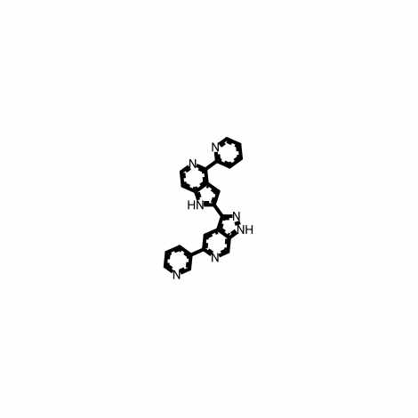 c1ccc(-c2nccc3[nH]c(-c4n[nH]c5cnc(-c6cccnc6)cc45)cc23)nc1